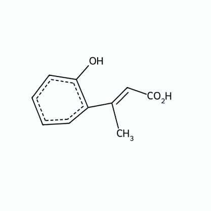 CC(=CC(=O)O)c1ccccc1O